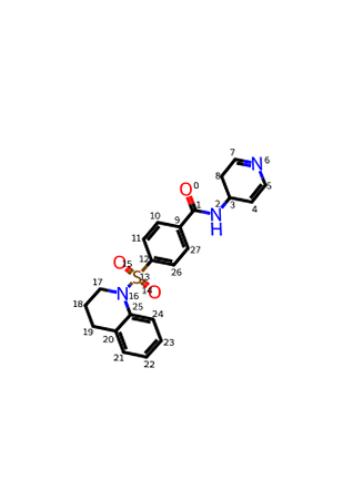 O=C(NC1C=CN=CC1)c1ccc(S(=O)(=O)N2CCCc3ccccc32)cc1